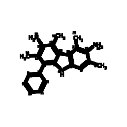 Cc1cc2[nH]c3c(-c4ccccc4)c(C)c(N)c(C)c3c2c(C)c1N